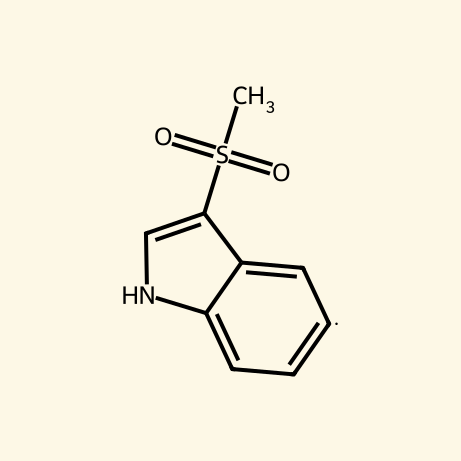 CS(=O)(=O)c1c[nH]c2cc[c]cc12